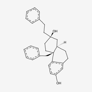 Oc1ccc2c(c1)CC[C@@H]1C[C@@](O)(CCc3ccccc3)CC[C@@]21Cc1ccccc1